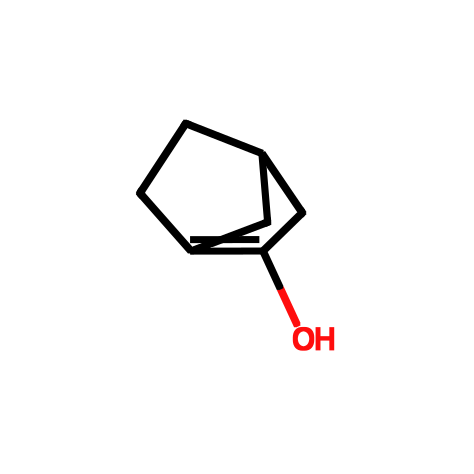 OC1=C2CCC(C1)C2